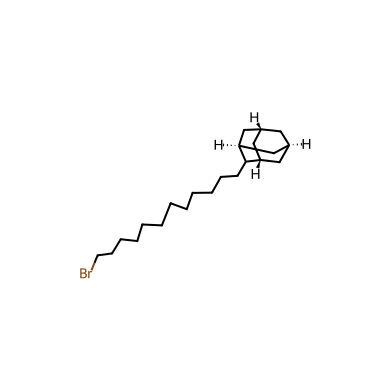 BrCCCCCCCCCCCCC1[C@H]2C[C@@H]3C[C@@H](C[C@H]1C3)C2